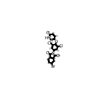 O=C1c2ccc(Br)cc2C(=O)N1c1cc(Cl)c(Oc2ccc(=O)[nH]n2)c(Cl)c1